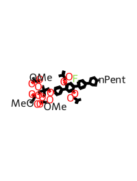 C=C(C)C(=O)Oc1cc(-c2ccc(C3CCC(CCCCC)CC3)cc2F)c(OC(=O)C(=C)C)cc1-c1ccc(OCC(COC(=O)C(=O)OC)(COC(=O)C(=O)OC)COC(=O)C(=O)OC)cc1